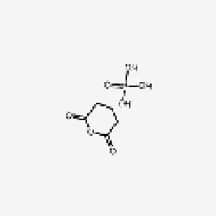 O=C1CCCC(=O)O1.O=P(O)(O)O